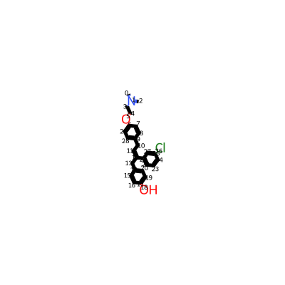 CN(C)CCOc1ccc(CC=C(Cc2ccc(O)cc2)c2cccc(Cl)c2)cc1